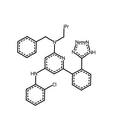 CC(C)CN(Cc1ccccc1)c1cc(Nc2ccccc2Cl)cc(-c2ccccc2-c2nnn[nH]2)n1